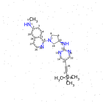 CNc1ccc2c(N3CC[C@@H](Nc4ncc(C#C[Si](C)(C)C)cn4)C3)nccc2c1